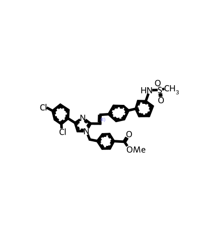 COC(=O)c1ccc(Cn2cc(-c3ccc(Cl)cc3Cl)nc2/C=C/c2ccc(-c3cccc(NS(C)(=O)=O)c3)cc2)cc1